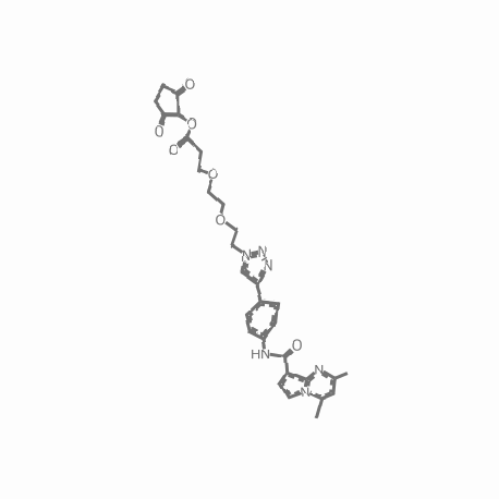 Cc1cc(C)n2ccc(C(=O)Nc3ccc(-c4cn(CCOCCOCCC(=O)OC5C(=O)CCC5=O)nn4)cc3)c2n1